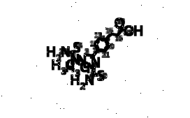 CN(N=CC(=NN(C)C(N)=S)c1ccc(CCC(=O)O)cc1)C(N)=S